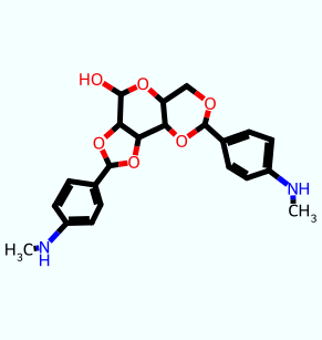 CNc1ccc(C2OCC3OC(O)C4OC(c5ccc(NC)cc5)OC4C3O2)cc1